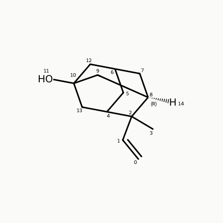 C=CC1(C)C2CC3C[C@@H]1CC(O)(C3)C2